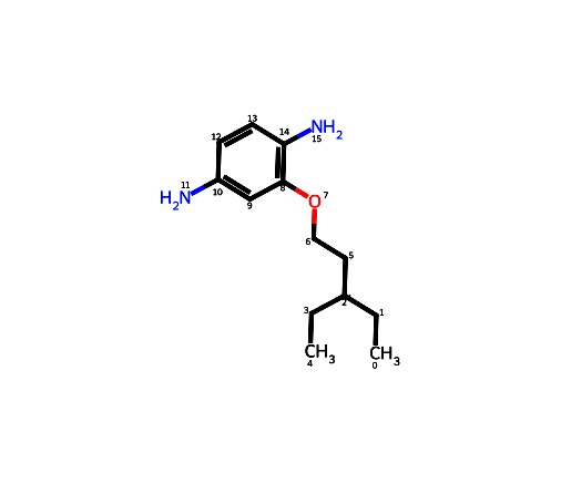 CC[C](CC)CCOc1cc(N)ccc1N